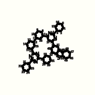 c1ccc(-c2nc(-c3cccc(-c4cccc(-c5nc(-c6ccccc6)nc(-c6ccccc6)n5)c4)c3)cc(-c3ccc4sc5ccccc5c4c3)n2)cc1